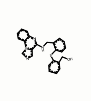 OCc1ccccc1Sc1ccccc1CNc1nc2ccccc2n2cncc12